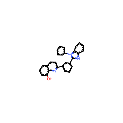 Oc1cccc2ccc(-c3cccc(-c4nc5ccccc5n4-c4ccccc4)c3)nc12